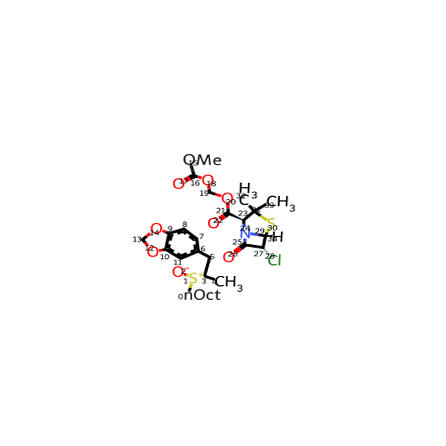 CCCCCCCC[S+]([O-])C(C)Cc1ccc2c(c1)OCO2.COC(=O)OCOC(=O)[C@@H]1N2C(=O)[C@@H](Cl)[C@H]2SC1(C)C